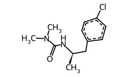 C[C@H](Cc1ccc(Cl)cc1)NC(=O)N(C)C